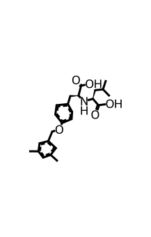 Cc1cc(C)cc(COc2ccc(C[C@H](N[C@@H](CC(C)C)C(=O)O)C(=O)O)cc2)c1